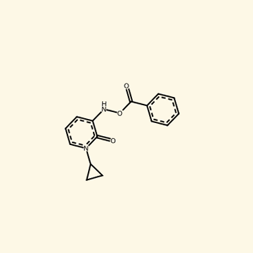 O=C(ONc1cccn(C2CC2)c1=O)c1ccccc1